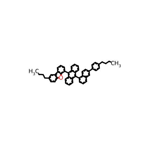 CCCCc1ccc(-c2ccc3c(-c4c5ccccc5c(-c5cccc6c5oc5ccc(CCCC)cc56)c5ccccc45)cccc3c2)cc1